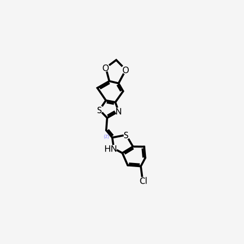 Clc1ccc2c(c1)N/C(=C/c1nc3cc4c(cc3s1)OCO4)S2